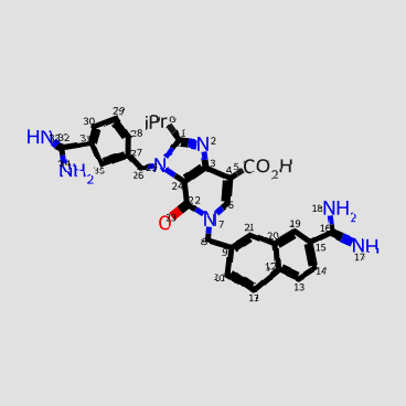 CC(C)c1nc2c(C(=O)O)cn(Cc3ccc4ccc(C(=N)N)cc4c3)c(=O)c2n1Cc1cccc(C(=N)N)c1